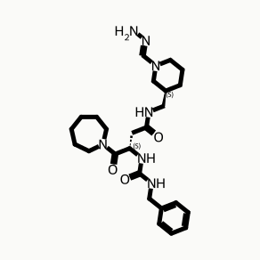 NN=CN1CCC[C@@H](CNC(=O)C[C@H](NC(=O)NCc2ccccc2)C(=O)N2CCCCCC2)C1